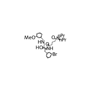 CCCN(CCC)C(=O)CCCC(=O)N[C@@H](Cc1cccc(Br)c1)[C@H](O)CNCc1cccc(OC)c1